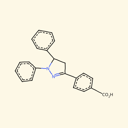 O=C(O)c1ccc(C2=NN(c3ccccc3)C(c3ccccc3)C2)cc1